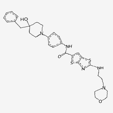 O=C(Nc1ccc(N2CCC(O)(Cc3ccccc3)CC2)cc1)c1cc2sc(NCCN3CCOCC3)nc2s1